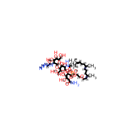 CC(=O)NC1[C@H](OC2[C@@H](O)[C@@H](O)C(C(N)=O)O[C@H]2P(=O)(O)OCCOC/C=C(/C)CC/C=C(\C)CCC=C(C)C)OC(CO)[C@@H](O[C@@H]2OC(CO)[C@H](O)[C@H](O)C2NC(=O)CN=[N+]=[N-])[C@@H]1O